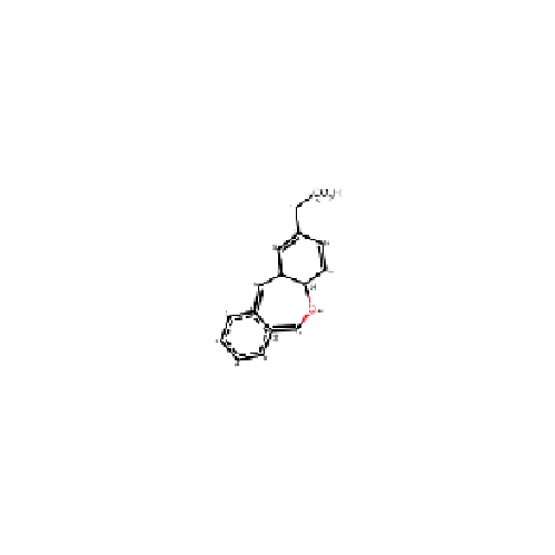 O=C(O)CC1=CC2C=c3ccccc3=COC2C=C1